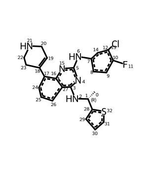 C[C@@H](Nc1nc(Nc2ccc(F)c(Cl)c2)nc2c(C3=CCNCC3)cccc12)c1cccs1